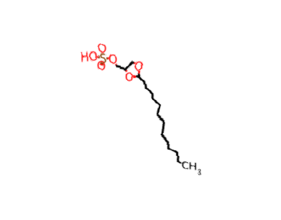 CCCCCCCCCCCCCC1OCC(COS(=O)(=O)O)O1